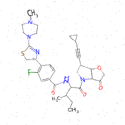 CCC(C)C(NC(=O)c1ccc(-c2csc(N3CCN(C)CC3)n2)c(F)c1)C(=O)N1CC(C#CC2CC2)C2OCC(=O)C21